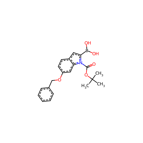 CC(C)(C)OC(=O)n1c(B(O)O)cc2ccc(OCc3ccccc3)cc21